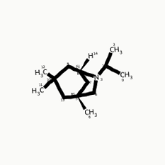 CC(C)N1C[C@@]2(C)C[C@@H]1CC(C)(C)C2